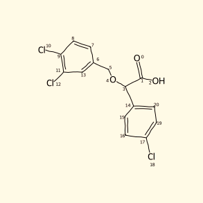 O=C(O)C(OCc1ccc(Cl)c(Cl)c1)c1ccc(Cl)cc1